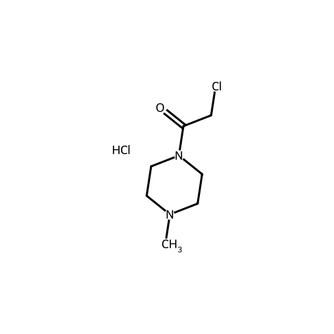 CN1CCN(C(=O)CCl)CC1.Cl